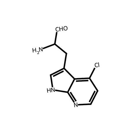 NC(C=O)Cc1c[nH]c2nccc(Cl)c12